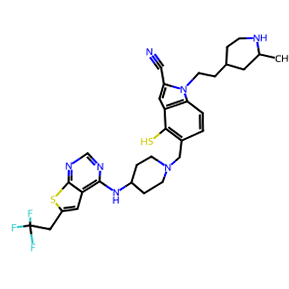 CC1CC(CCn2c(C#N)cc3c(S)c(CN4CCC(Nc5ncnc6sc(CC(F)(F)F)cc56)CC4)ccc32)CCN1